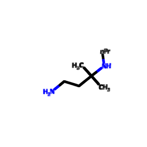 CCCNC(C)(C)CCN